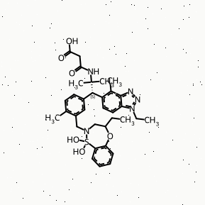 CCC1CN(Cc2cc([C@@H](c3ccc4c(nnn4CC)c3C)C(C)(C)NC(=O)CC(=O)O)ccc2C)S(O)(O)c2ccccc2O1